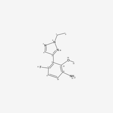 CCn1ncc(-c2c(F)ccc(N)c2OC)n1